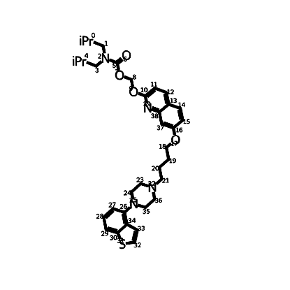 CC(C)CN(CC(C)C)C(=O)OCOc1ccc2ccc(OCCCCN3CCN(c4cccc5sccc45)CC3)cc2n1